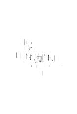 CC(CCCC(=O)O)(C(=O)NN)C(=O)NN